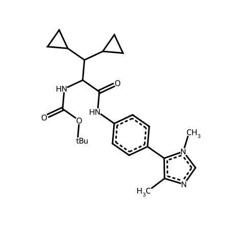 Cc1ncn(C)c1-c1ccc(NC(=O)C(NC(=O)OC(C)(C)C)C(C2CC2)C2CC2)cc1